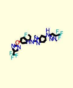 CCC(Nc1nc2ccc(Nc3cc(C(F)(F)F)n(C)n3)cc2n1C)c1ccc(Oc2ncc(C(F)(F)F)cn2)cc1F